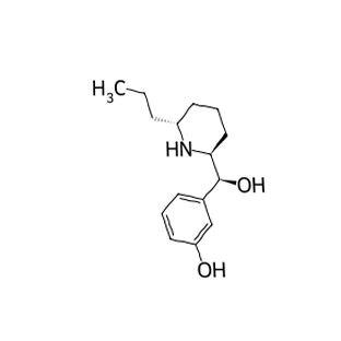 CCC[C@@H]1CCC[C@@H]([C@@H](O)c2cccc(O)c2)N1